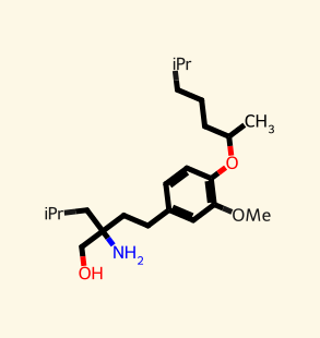 COc1cc(CCC(N)(CO)CC(C)C)ccc1OC(C)CCCC(C)C